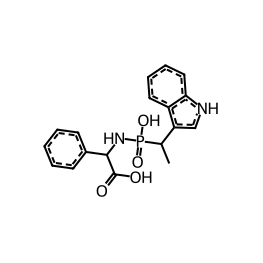 CC(c1c[nH]c2ccccc12)P(=O)(O)NC(C(=O)O)c1ccccc1